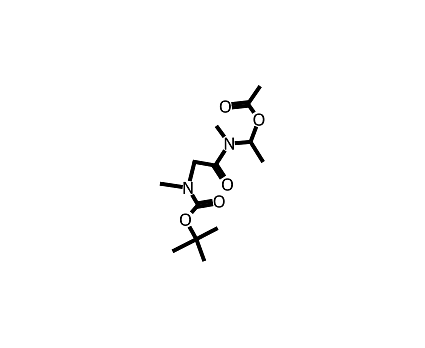 CC(=O)OC(C)N(C)C(=O)CN(C)C(=O)OC(C)(C)C